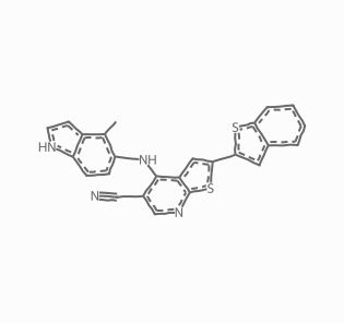 Cc1c(Nc2c(C#N)cnc3sc(-c4cc5ccccc5s4)cc23)ccc2[nH]ccc12